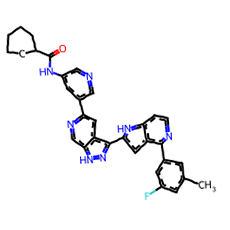 Cc1cc(F)cc(-c2nccc3[nH]c(-c4n[nH]c5cnc(-c6cncc(NC(=O)C7CCCCC7)c6)cc45)cc23)c1